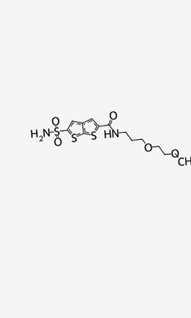 COCCOCCCNC(=O)c1cc2cc(S(N)(=O)=O)sc2s1